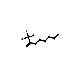 C=C(CCCCCC)C(F)(F)F